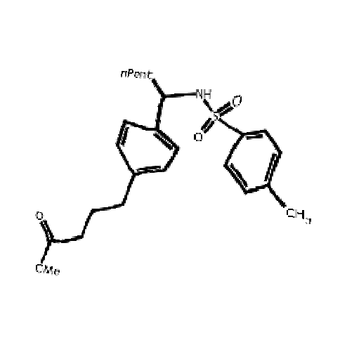 CCCCCC(NS(=O)(=O)c1ccc(C)cc1)c1ccc(CCCC(=O)OC)cc1